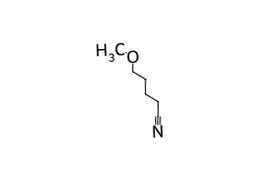 COCCCCC#N